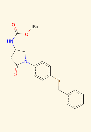 CC(C)(C)OC(=O)NC1CC(=O)N(c2ccc(SCc3ccccc3)cc2)C1